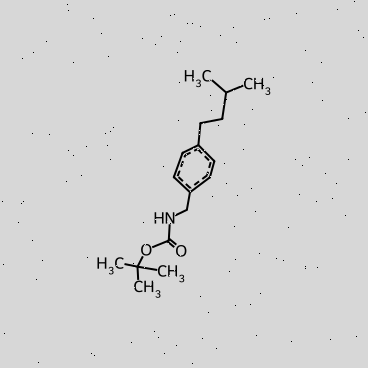 CC(C)CCc1ccc(CNC(=O)OC(C)(C)C)cc1